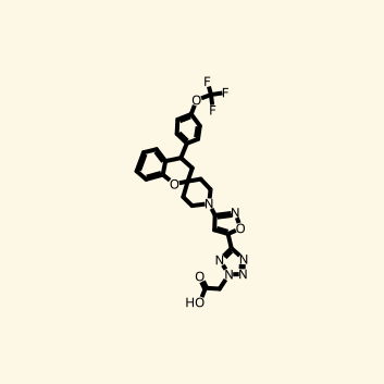 O=C(O)Cn1nnc(-c2cc(N3CCC4(CC3)CC(c3ccc(OC(F)(F)F)cc3)c3ccccc3O4)no2)n1